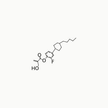 C=C(CO)C(=O)Oc1ccc(C2CCC(CCCCC)CC2)cc1F